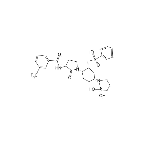 O=C(NC1CCN([C@H]2CC[C@@H](N3CCCS3(O)O)C[C@H]2CS(=O)(=O)c2ccccc2)C1=O)c1cccc(C(F)(F)F)c1